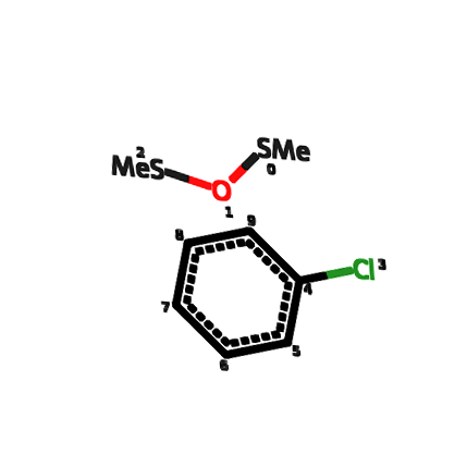 CSOSC.Clc1ccccc1